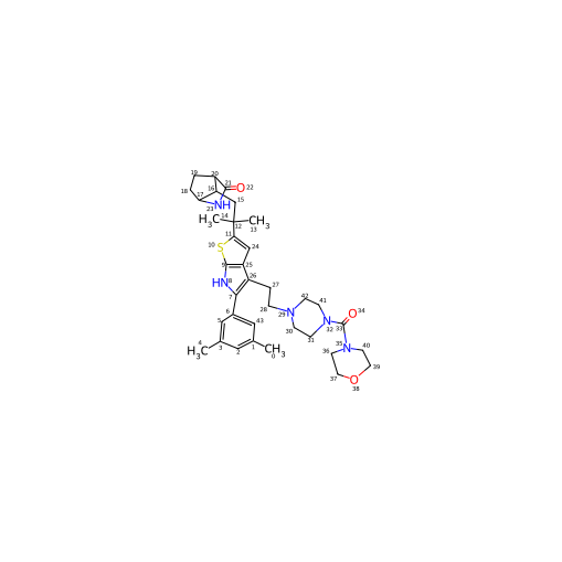 Cc1cc(C)cc(-c2[nH]c3sc(C(C)(C)CC4C5CCC4C(=O)N5)cc3c2CCN2CCN(C(=O)N3CCOCC3)CC2)c1